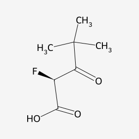 CC(C)(C)C(=O)[C@H](F)C(=O)O